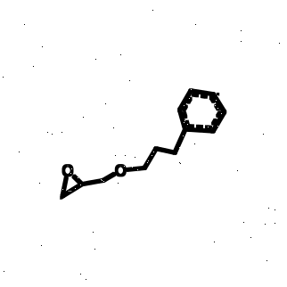 [c]1ccc(CCCOCC2CO2)cc1